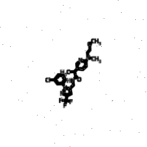 COCCN(C)c1ccc(C(C)C(=O)NCc2cc(C(F)(F)F)nn2-c2cccc(Cl)c2)cn1